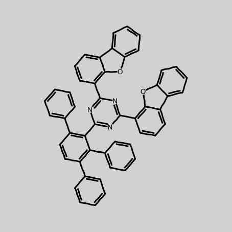 c1ccc(-c2ccc(-c3ccccc3)c(-c3nc(-c4cccc5c4oc4ccccc45)nc(-c4cccc5c4oc4ccccc45)n3)c2-c2ccccc2)cc1